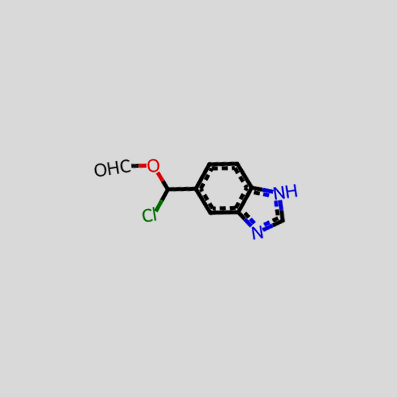 O=COC(Cl)c1ccc2[nH]cnc2c1